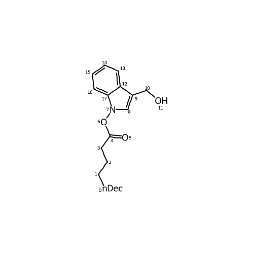 CCCCCCCCCCCCCC(=O)On1cc(CO)c2ccccc21